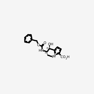 CC(C)C[C@H](NC(=O)OCc1ccccc1)[C@@H](O)c1ccc(C(=O)O)s1